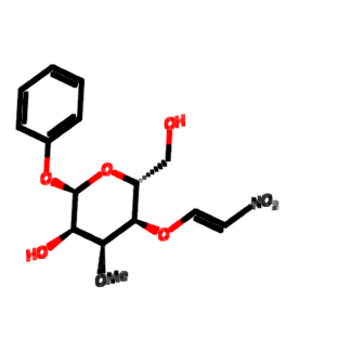 CO[C@H]1[C@@H](O)[C@@H](Oc2ccccc2)O[C@H](CO)[C@H]1OC=C[N+](=O)[O-]